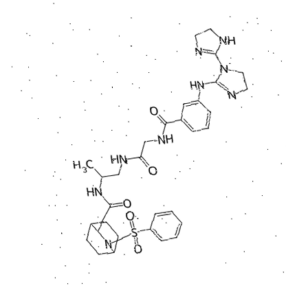 CC(CNC(=O)CNC(=O)c1cccc(NC2=NCCN2C2=NCCN2)c1)NC(=O)C1C2CCC(CC2)N1S(=O)(=O)c1ccccc1